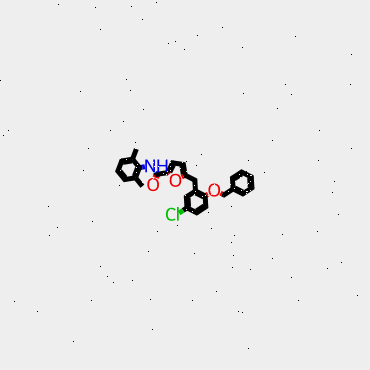 Cc1cccc(C)c1NC(=O)c1ccc(Cc2cc(Cl)ccc2OCc2ccccc2)o1